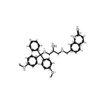 COc1ccc(C(OCC(O)COCc2ccc3ccc(=O)oc3c2)(c2ccccc2)c2ccc(OC)cc2)cc1